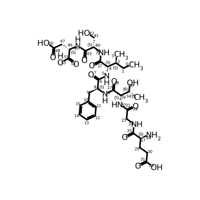 CC[C@H](C)[C@H](NC(=O)[C@H](Cc1ccccc1)NC(=O)[C@@H](NC(=O)CNC(=O)[C@@H](N)CCC(=O)O)[C@@H](C)O)C(=O)N[C@@H](CO)C(=O)N[C@@H](CC(=O)O)C(=O)O